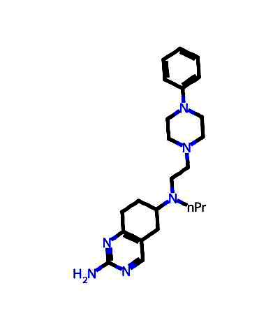 CCCN(CCN1CCN(c2ccccc2)CC1)C1CCc2nc(N)ncc2C1